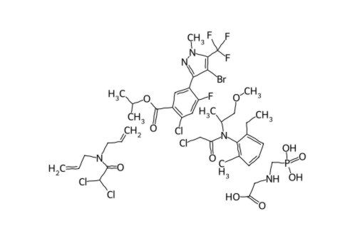 C=CCN(CC=C)C(=O)C(Cl)Cl.CC(C)OC(=O)c1cc(-c2nn(C)c(C(F)(F)F)c2Br)c(F)cc1Cl.CCc1cccc(C)c1N(C(=O)CCl)C(C)COC.O=C(O)CNCP(=O)(O)O